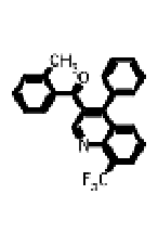 Cc1ccccc1C(=O)c1cnc2c(C(F)(F)F)cccc2c1-c1ccccc1